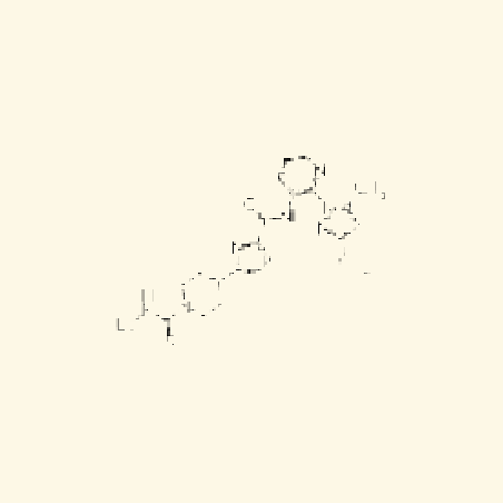 CCNC(=S)N1CCC(c2nc(C(=O)Nc3cccnc3-n3nc(C)cc3C)cs2)CC1